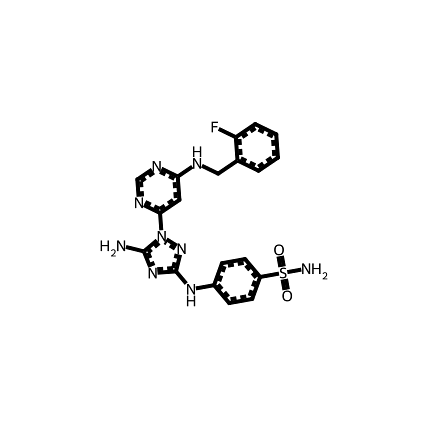 Nc1nc(Nc2ccc(S(N)(=O)=O)cc2)nn1-c1cc(NCc2ccccc2F)ncn1